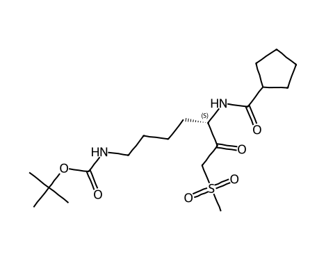 CC(C)(C)OC(=O)NCCCC[C@H](NC(=O)C1CCCC1)C(=O)CS(C)(=O)=O